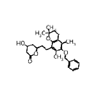 Cc1c(CCC2CC(O)CC(=O)O2)c2c(c(C)c1OCc1ccccc1)CCC(C)(C)O2